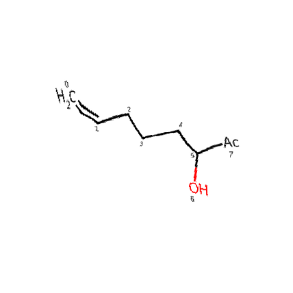 C=CCCCC(O)C(C)=O